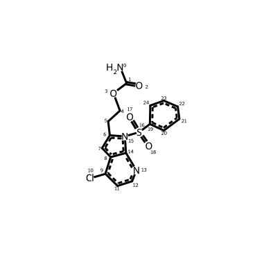 NC(=O)OCCc1cc2c(Cl)ccnc2n1S(=O)(=O)c1ccccc1